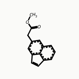 COC(=O)Cc1cc2c3c(cccc3c1)C=C2